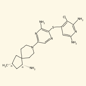 C[C@H]1C[C@@H](N)C2(CCN(c3cnc(Sc4cc(N)nc(N)c4Cl)c(N)n3)CC2)C1